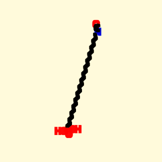 O=C=NCCCCCCCCCCCCCCCCCCCCCCCCCCCCCP(=O)(O)O